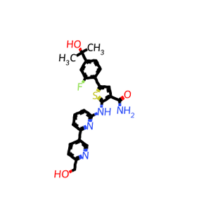 CC(C)(O)c1ccc(-c2cc(C(N)=O)c(Nc3cccc(-c4ccc(CO)nc4)n3)s2)c(F)c1